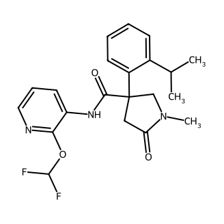 CC(C)c1ccccc1C1(C(=O)Nc2cccnc2OC(F)F)CC(=O)N(C)C1